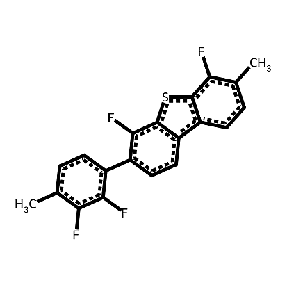 Cc1ccc(-c2ccc3c(sc4c(F)c(C)ccc43)c2F)c(F)c1F